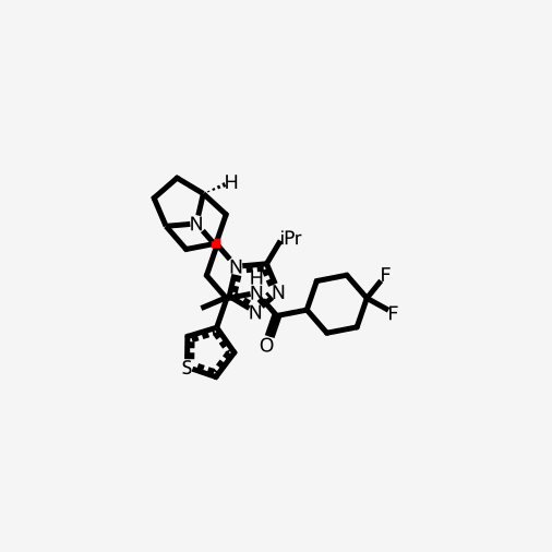 Cc1nnc(C(C)C)n1C1CC2CC[C@@H](C1)N2CCC(NC(=O)C1CCC(F)(F)CC1)c1ccsc1